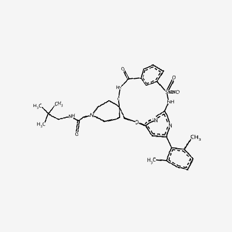 Cc1cccc(C)c1-c1cc2nc(n1)NS(=O)(=O)c1cccc(c1)C(=O)NCC1(CCN(C(=O)NCC(C)(C)C)CC1)CO2